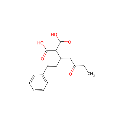 CCC(=O)CC(/C=C/c1ccccc1)C(C(=O)O)C(=O)O